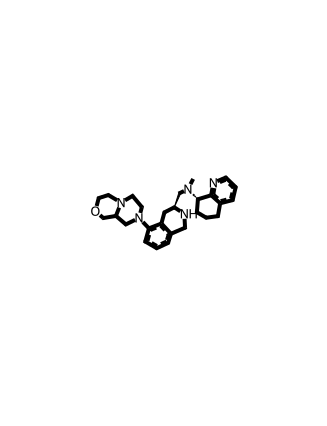 CN(C[C@@H]1Cc2c(cccc2N2CCN3CCOCC3C2)CN1)[C@H]1CCCc2cccnc21